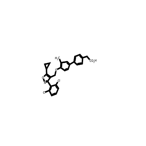 Cc1cc(-c2ccc(CC(=O)O)cc2)ccc1OCc1c(-c2c(Cl)cccc2Cl)noc1C1CC1